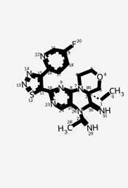 CC[C@@]12COCCN1c1nc(-c3snnc3-c3ccc(F)cn3)ncc1N(C(C)=N)C2=N